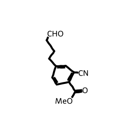 COC(=O)c1ccc(CCCC=O)cc1C#N